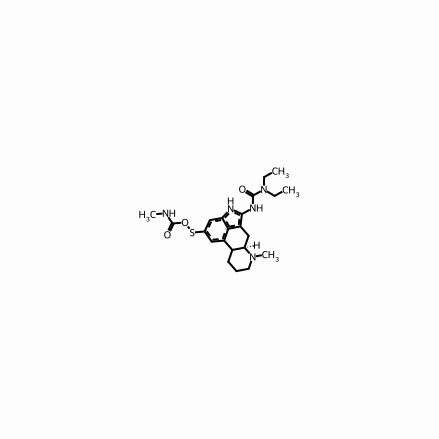 CCN(CC)C(=O)Nc1[nH]c2cc(SOC(=O)NC)cc3c2c1C[C@@H]1C3CCCN1C